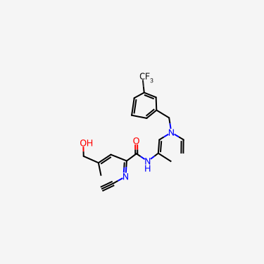 C#C/N=C(\C=C(/C)CO)C(=O)N/C(C)=C/N(C=C)Cc1cccc(C(F)(F)F)c1